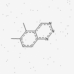 Cc1ccc2nnncc2c1C